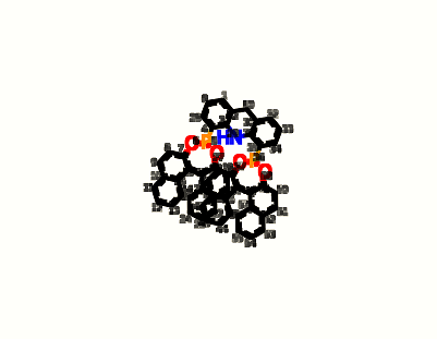 c1cc2c(c(-p3oc4ccc5ccccc5c4c4c(ccc5ccccc54)o3)c1)Nc1c(cccc1-p1oc3ccc4ccccc4c3c3c(ccc4ccccc43)o1)C2